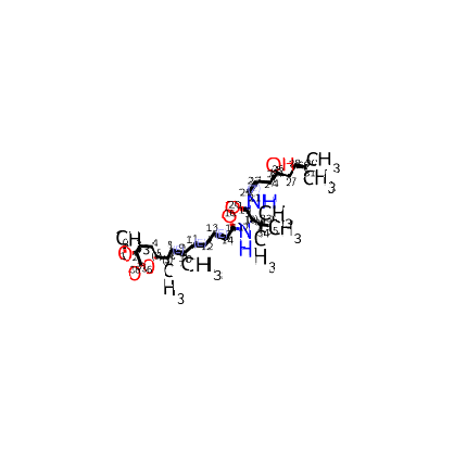 COC1=CC[C@@H]([C@@H](C)/C=C(C)/C=C/C=C/C(=O)N[C@H](C(=O)N/C=C\C[C@@H](O)CC=C(C)C)C(C)(C)C)OC1=O